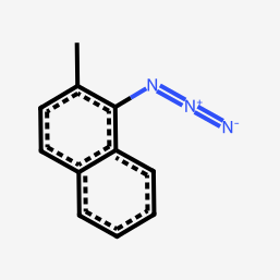 Cc1ccc2ccccc2c1N=[N+]=[N-]